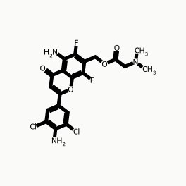 CN(C)CC(=O)OCc1c(F)c(N)c2c(=O)cc(-c3cc(Cl)c(N)c(Cl)c3)oc2c1F